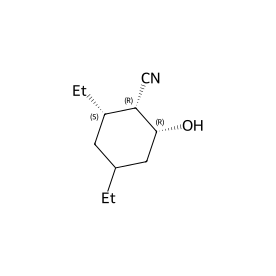 CCC1C[C@H](CC)[C@H](C#N)[C@H](O)C1